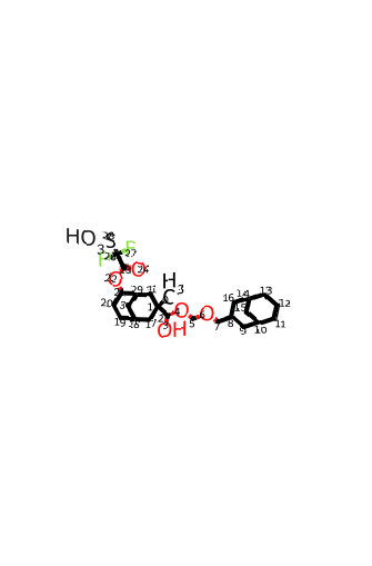 CC1(C(O)OCOCC2CC3CCCC(C3)C2)CC2CCC(OC(=O)C(F)(F)S(=O)(=O)O)C(C2)C1